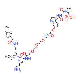 CC(C)Cc1ccc(CC(=O)NCCCC[C@H](NC(=O)[C@H](CCCCN)NC(=O)CCOCCOCCOCCNC(=O)COc2ccc3c(C(=O)NCC(=O)N4CCC[C@H]4B(O)O)ccnc3c2)C(=O)O)cc1